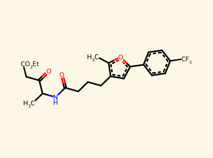 CCOC(=O)CC(=O)C(C)NC(=O)CCCc1cc(-c2ccc(C(F)(F)F)cc2)oc1C